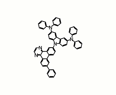 c1ccc(-c2ccc3c(c2)c2ccc(-n4c5ccc(N(c6ccccc6)c6ccccc6)cc5c5cc(N(c6ccccc6)c6ccccc6)ccc54)cc2c2nccnc32)cc1